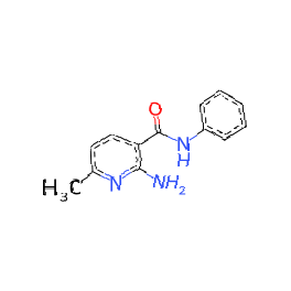 Cc1ccc(C(=O)Nc2ccccc2)c(N)n1